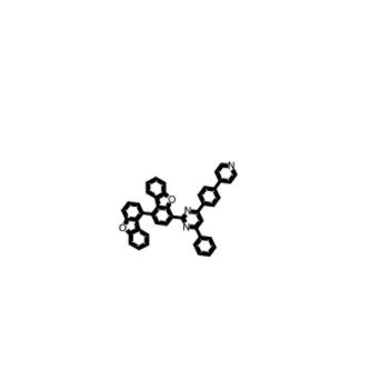 c1ccc(-c2cc(-c3ccc(-c4ccncc4)cc3)nc(-c3ccc(-c4cccc5oc6ccccc6c45)c4c3oc3ccccc34)n2)cc1